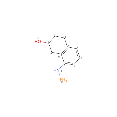 OC1CCc2cccc(NP)c2C1